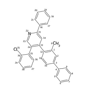 Cc1cc(-c2ccccc2)ccc1-c1cc(-c2ccccc2)ncc1-c1ccccc1Cl